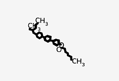 CCCCCCCC(=O)Oc1ccc(-c2ccc(C3CCC(CC(CC)CCCC)CC3)cc2)cc1